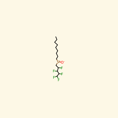 CCCCCCCCC[S+]([O-])CC(F)C(F)C(F)C(F)F